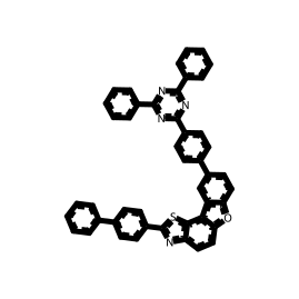 c1ccc(-c2ccc(-c3nc4ccc5oc6ccc(-c7ccc(-c8nc(-c9ccccc9)nc(-c9ccccc9)n8)cc7)cc6c5c4s3)cc2)cc1